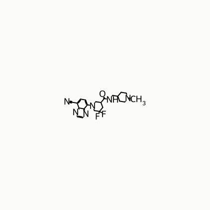 CN1CCC(CNC(=O)C2CN(c3ccc(C#N)c4nccnc34)CC(F)(F)C2)CC1